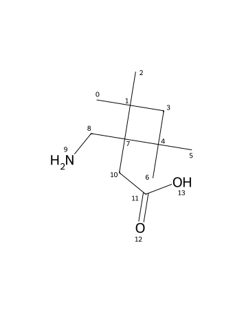 CC1(C)CC(C)(C)C1(CN)CC(=O)O